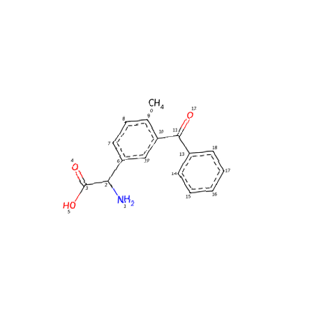 C.NC(C(=O)O)c1cccc(C(=O)c2ccccc2)c1